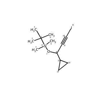 CC(C)(C)[Si](C)(C)OC(C#CI)C1CC1